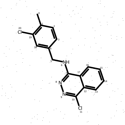 Cc1ccc(CNc2nnc(Cl)c3ccccc23)cc1Cl